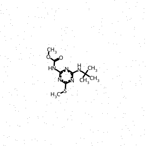 COC(=O)Nc1nc(NC(C)(C)C)nc(SC)n1